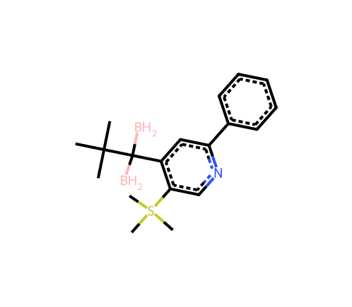 BC(B)(c1cc(-c2ccccc2)ncc1S(C)(C)C)C(C)(C)C